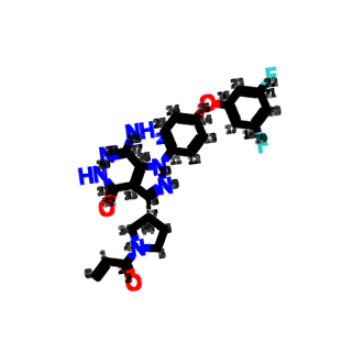 C=CC(=O)N1CC[C@@H](c2nn(-c3ccc(Oc4cc(F)cc(F)c4)cc3)c3c(N)n[nH]c(=O)c23)C1